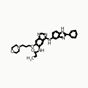 C=CC(=O)Nc1cc2c(Nc3ccc4[nH]c(-c5ccccc5)nc4c3)ncnc2cc1OCCCN1CCOCC1